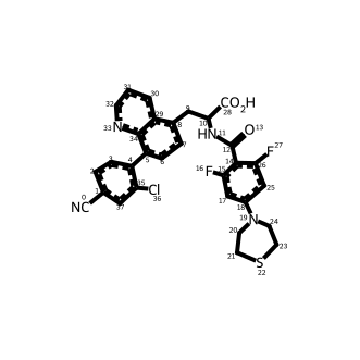 N#Cc1ccc(-c2ccc(CC(NC(=O)c3c(F)cc(N4CCSCC4)cc3F)C(=O)O)c3cccnc23)c(Cl)c1